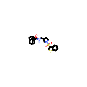 O=C(NCC1CCN(S(=O)(=O)c2csc3ccccc23)C1)C12CC3CC(CC(C3)C1)C2